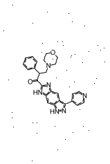 O=C(c1nc2cc3c(-c4ccncc4)n[nH]c3cc2[nH]1)C(CN1CCOCC1)c1ccccc1